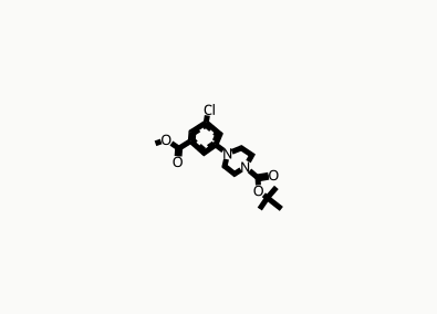 COC(=O)c1cc(Cl)cc(N2CCN(C(=O)OC(C)(C)C)CC2)c1